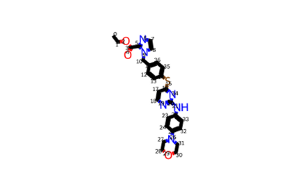 CCOC(=O)c1nccn1Cc1ccc(Sc2ccnc(Nc3ccc(N4CCOCC4)cc3)n2)cc1